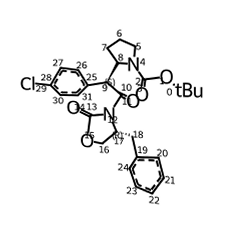 CC(C)(C)OC(=O)N1CCCC1[C@@H](C(=O)N1C(=O)OC[C@H]1Cc1ccccc1)c1ccc(Cl)cc1